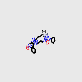 CCCCc1nc2c[n+]([O-])c3ccccc3c2n1CCCNC(=O)NC1CCCCC1